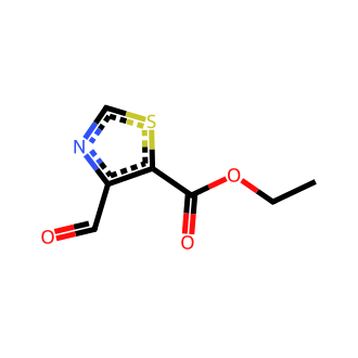 CCOC(=O)c1scnc1C=O